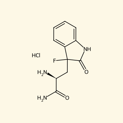 Cl.NC(=O)[C@@H](N)CC1(F)C(=O)Nc2ccccc21